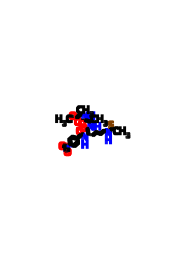 COC(=O)[C@H](C)NC(=O)[C@H](C)NC(=O)[C@H](CCCCNC(C)=S)NC(=O)c1ccc([N+](=O)[O-])cc1